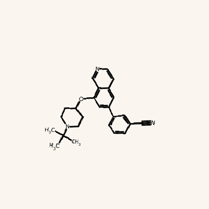 CC(C)(C)N1CCC(Oc2cc(-c3cccc(C#N)c3)cc3ccncc23)CC1